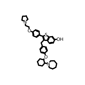 Oc1ccc2c(Cc3ccc(OC4CCCCC4N4CCCCCC4)cc3)c(-c3ccc(OCCN4CCCC4)cc3)sc2c1